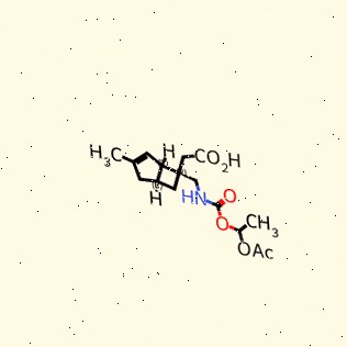 CC(=O)OC(C)OC(=O)NC[C@@]1(CC(=O)O)C[C@H]2CC(C)=C[C@@H]21